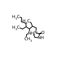 CCCCC(CC)C(NCC)C(CC)CN1CCNC1=O